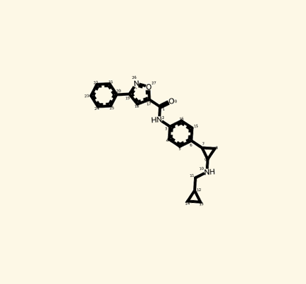 O=C(Nc1ccc(C2CC2NCC2CC2)cc1)c1cc(-c2ccccc2)no1